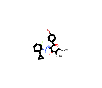 COCC(C=O)C(=O)/C(=N\Nc1c(F)cccc1C1CC1)C(=O)c1ccc(Br)cc1